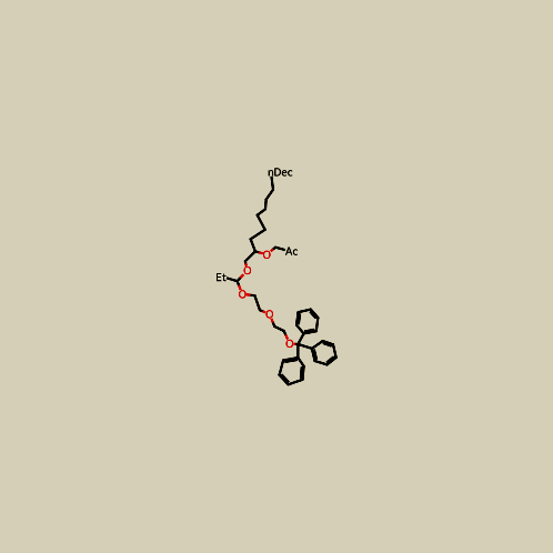 CCCCCCCCCCCCCCCCC(COC(CC)OCCOCCOC(c1ccccc1)(c1ccccc1)c1ccccc1)OCC(C)=O